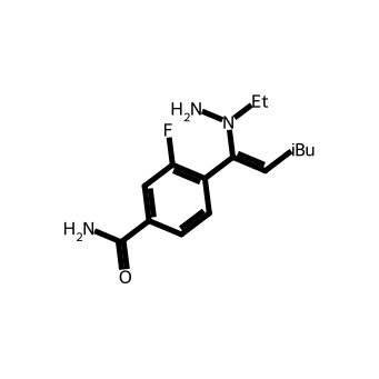 CCC(C)/C=C(/c1ccc(C(N)=O)cc1F)N(N)CC